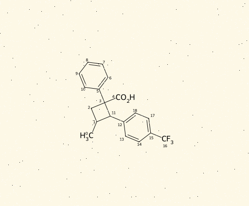 CC1CC(C(=O)O)(c2ccccc2)C1c1ccc(C(F)(F)F)cc1